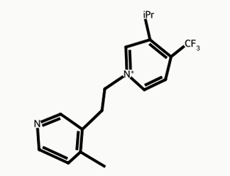 Cc1ccncc1CC[n+]1ccc(C(F)(F)F)c(C(C)C)c1